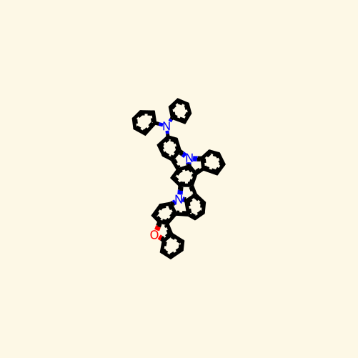 c1ccc(N(c2ccccc2)c2ccc3c4cc5c(c6cccc7c8c9c(ccc8n5c76)oc5ccccc59)c5c6ccccc6n(c3c2)c45)cc1